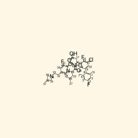 Cc1cc(F)cc(C)c1-c1cc(Cl)c(F)c(C(CC(=O)O)NC(=O)C(CC(C)C)n2cc(CCN3CC(C)C3)cc(F)c2=O)c1